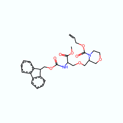 C=CCOC(=O)N1CCOCC1COCC(NC(=O)OCC1c2ccccc2-c2ccccc21)C(=O)OC